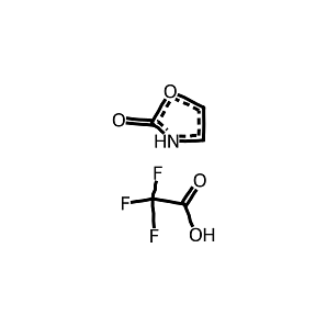 O=C(O)C(F)(F)F.O=c1[nH]cco1